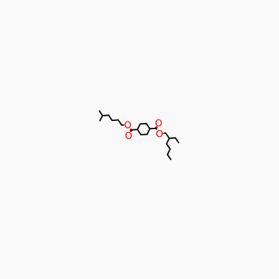 CCCCC(CC)COC(=O)C1CCC(C(=O)OCCCCC(C)C)CC1